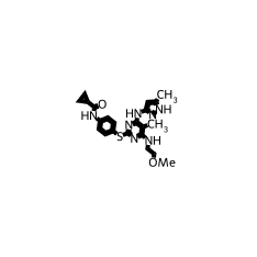 COCCNc1nc(Sc2ccc(NC(=O)C3CC3)cc2)nc(Nc2cc(C)[nH]n2)c1C